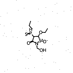 CCC[PH](=S)C1C(=O)N(CO)[S+]([O-])C1OCC